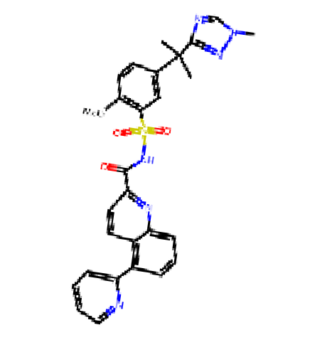 COc1ccc(C(C)(C)c2ncn(C)n2)cc1S(=O)(=O)NC(=O)c1ccc2c(-c3ccccn3)cccc2n1